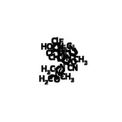 C=CC(=O)N1[C@H](C)CN(c2c(C#N)c(=O)n(C3=C(C)C=CN(C)C3C(C)C)c3nc(-c4c(F)c(F)c(Cl)c(O)c4Cl)c(Cl)cc23)C[C@@H]1C